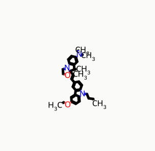 CCCCn1c2ccc(C=CC34OCCN3c3ccc(N(C)C)cc3C4(C)C)cc2c2cc(OCC)ccc21